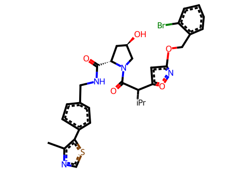 Cc1ncsc1-c1ccc(CNC(=O)[C@@H]2C[C@@H](O)CN2C(=O)C(c2cc(OCc3ccccc3Br)no2)C(C)C)cc1